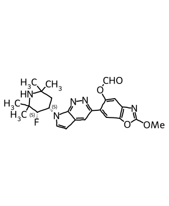 COc1nc2cc(OC=O)c(-c3cc4ccn([C@H]5CC(C)(C)NC(C)(C)[C@H]5F)c4nn3)cc2o1